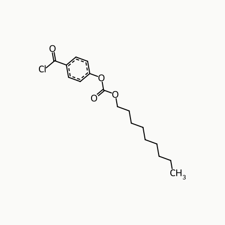 CCCCCCCCCOC(=O)Oc1ccc(C(=O)Cl)cc1